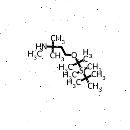 CNC(C)(C)CCOC(C)(C)[Si](C)(C)C(C)(C)C